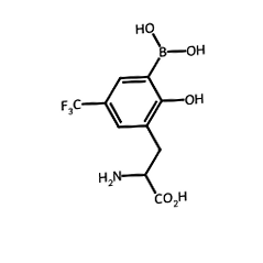 NC(Cc1cc(C(F)(F)F)cc(B(O)O)c1O)C(=O)O